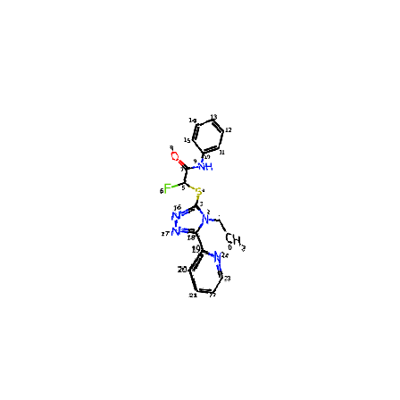 CCn1c(SC(F)C(=O)Nc2ccccc2)nnc1-c1ccccn1